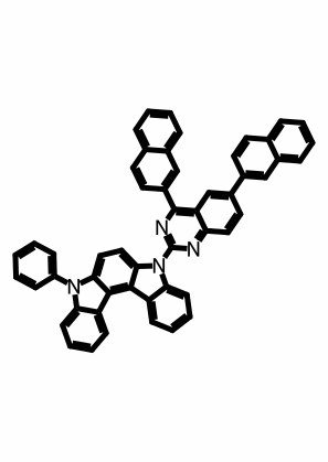 c1ccc(-n2c3ccccc3c3c4c5ccccc5n(-c5nc(-c6ccc7ccccc7c6)c6cc(-c7ccc8ccccc8c7)ccc6n5)c4ccc32)cc1